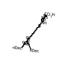 CCCCCCCCCCCCCCCC(=O)OCC(COC(=O)CCCCCCCCCCCCCCCSSCCCNc1ccc2nc(C3=N[C@@H](C(=O)O)CS3)sc2c1)OC(=O)CCCCCCCCCCCCCCC